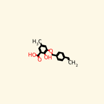 C=Cc1ccc(COc2cc(C)cc(C(=O)O)c2O)cc1